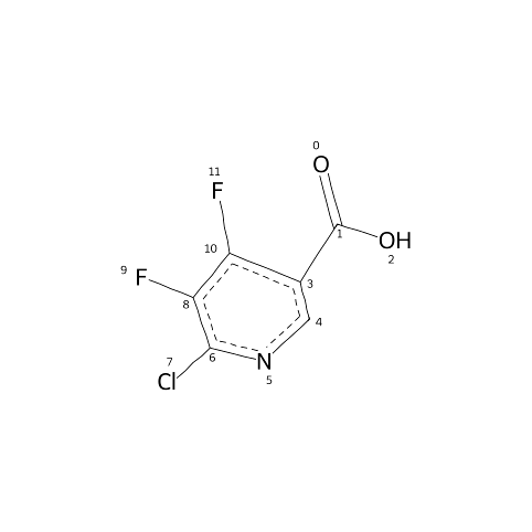 O=C(O)c1cnc(Cl)c(F)c1F